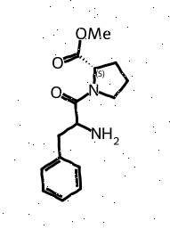 COC(=O)[C@@H]1CCCN1C(=O)C(N)Cc1ccccc1